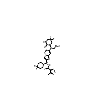 CCOCC(c1cnn2cc([C@@H](NC(=O)c3nonc3C)C3CCC(F)(F)CC3)nc2c1)N1CC(F)(F)CNC1=O